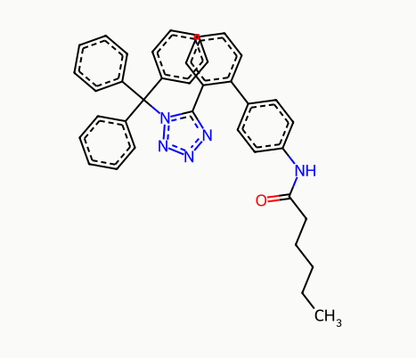 CCCCCC(=O)Nc1ccc(-c2ccccc2-c2nnnn2C(c2ccccc2)(c2ccccc2)c2ccccc2)cc1